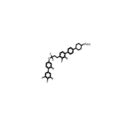 CCCCCC1CCC(c2ccc(-c3ccc(CCC(F)(F)Oc4ccc(-c5cc(F)c(F)c(F)c5)c(F)c4)c(F)c3F)cc2)CC1